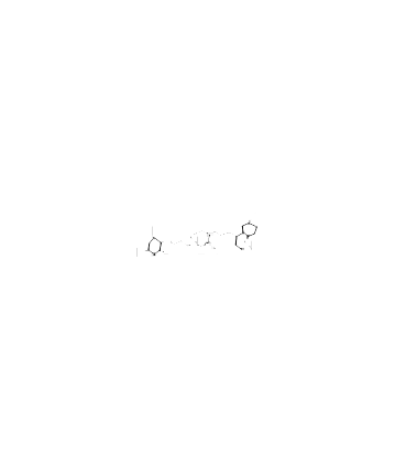 COc1ccc2nccc(CCC[C@@H]3CCN(CCCSc4c(F)cc(F)c(F)c4F)C[C@@H]3CO)c2c1